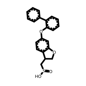 O=S(O)CC1COc2cc(Oc3ccccc3-c3ccccc3)ccc21